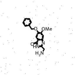 COc1cc2nc(CN)[nH]c(=O)c2cc1OCc1ccccc1